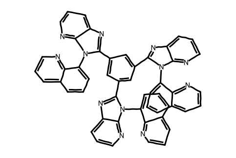 c1cnc2c(-n3c(-c4cc(-c5nc6cccnc6n5-c5cccc6cccnc56)cc(-c5nc6cccnc6n5-c5cccc6cccnc56)c4)nc4cccnc43)cccc2c1